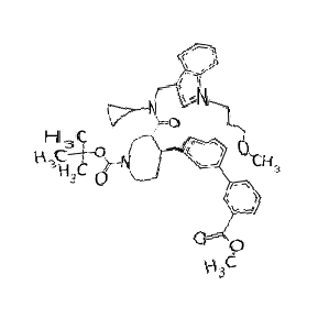 COCCCn1cc(CN(C(=O)[C@H]2CN(C(=O)OC(C)(C)C)CC[C@@H]2c2cccc(-c3cccc(C(=O)OC)c3)c2)C2CC2)c2ccccc21